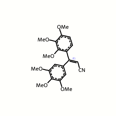 COc1cc(/C(=C\C#N)c2ccc(OC)c(OC)c2OC)cc(OC)c1OC